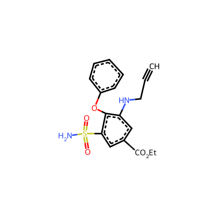 C#CCNc1cc(C(=O)OCC)cc(S(N)(=O)=O)c1Oc1ccccc1